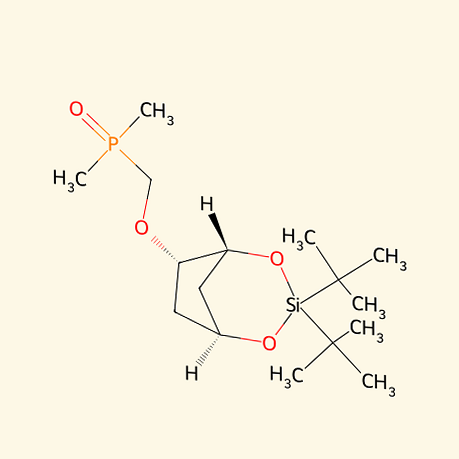 CC(C)(C)[Si]1(C(C)(C)C)O[C@H]2C[C@H](OCP(C)(C)=O)[C@@H](C2)O1